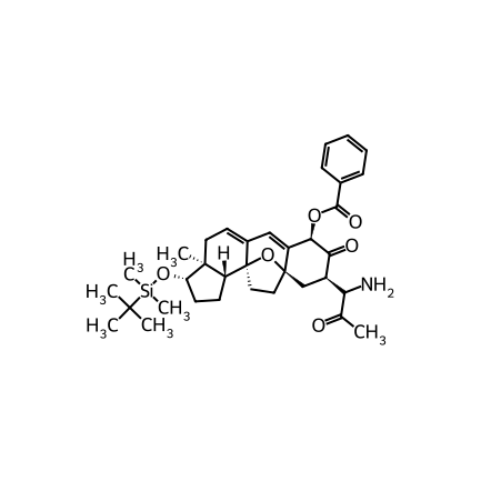 CC(=O)C(N)[C@H]1C[C@@]23CC[C@@]4(O2)C(=CC[C@]2(C)[C@@H](O[Si](C)(C)C(C)(C)C)CC[C@H]24)C=C3[C@@H](OC(=O)c2ccccc2)C1=O